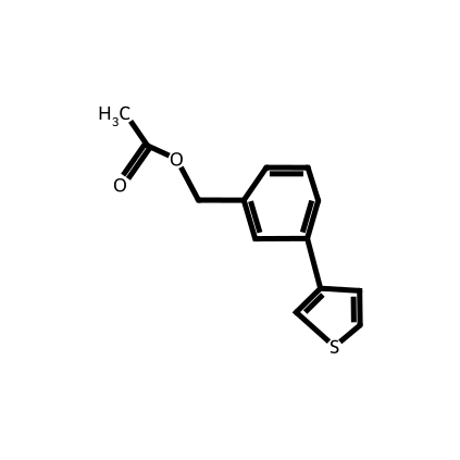 CC(=O)OCc1cccc(-c2ccsc2)c1